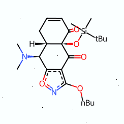 CCCCOc1noc2c1C(=O)[C@@]1(O[Si](C)(C)C(C)(C)C)C(=O)C=CC[C@H]1[C@@H]2N(C)C